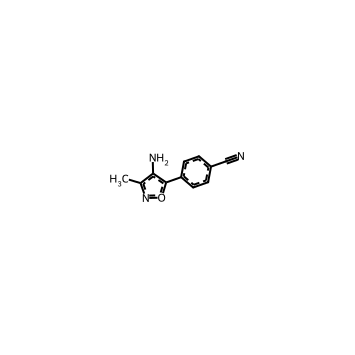 Cc1noc(-c2ccc(C#N)cc2)c1N